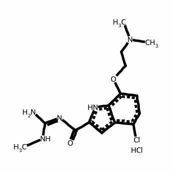 CNC(N)=NC(=O)c1cc2c(Cl)ccc(OCCN(C)C)c2[nH]1.Cl